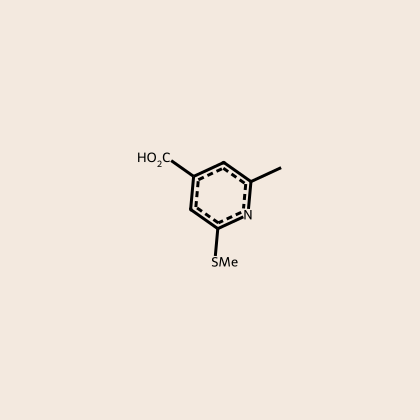 CSc1cc(C(=O)O)cc(C)n1